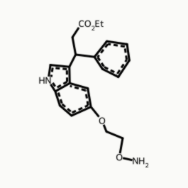 CCOC(=O)CC(c1ccccc1)c1c[nH]c2ccc(OCCON)cc12